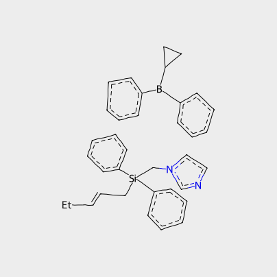 CCC=CC[Si](Cn1ccnc1)(c1ccccc1)c1ccccc1.c1ccc(B(c2ccccc2)C2CC2)cc1